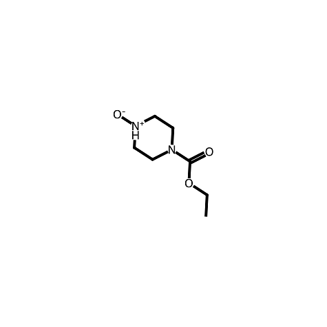 CCOC(=O)N1CC[NH+]([O-])CC1